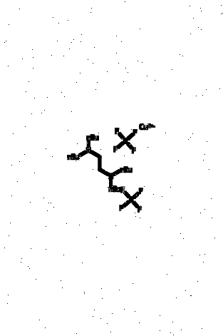 CCCCN(CCCC)CCN(CCCC)CCCC.F[B-](F)(F)F.F[B-](F)(F)F.[Cu+2]